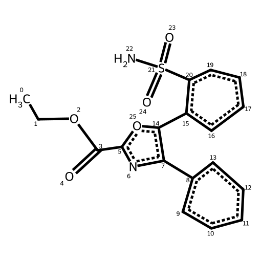 CCOC(=O)c1nc(-c2ccccc2)c(-c2ccccc2S(N)(=O)=O)o1